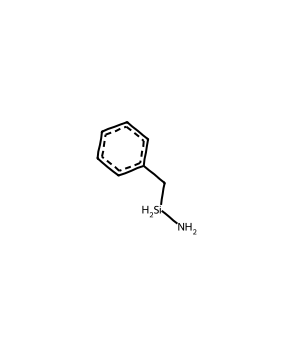 N[SiH2]Cc1ccccc1